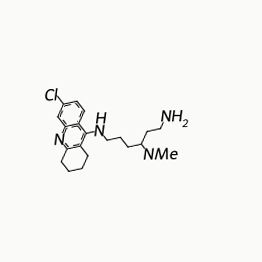 CNC(CCN)CCCNc1c2c(nc3cc(Cl)ccc13)CCCC2